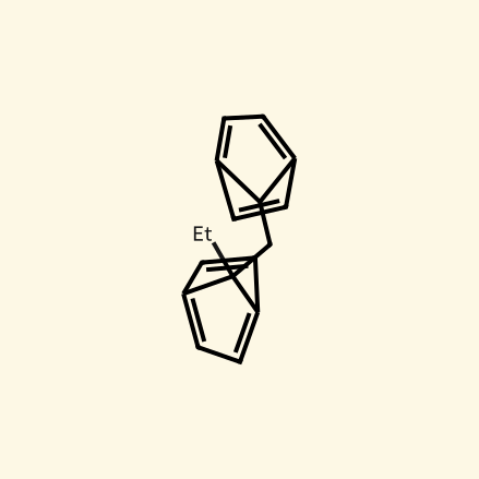 CCC1(CC2C3=CC=C2C=C3)C2=CC=C1C=C2